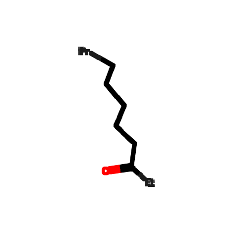 CCC(=O)CCCCCC(C)C